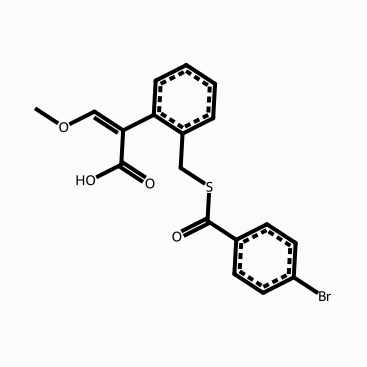 COC=C(C(=O)O)c1ccccc1CSC(=O)c1ccc(Br)cc1